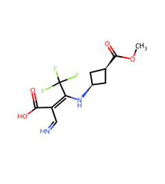 COC(=O)[C@H]1C[C@@H](N/C(=C(\C=N)C(=O)O)C(F)(F)F)C1